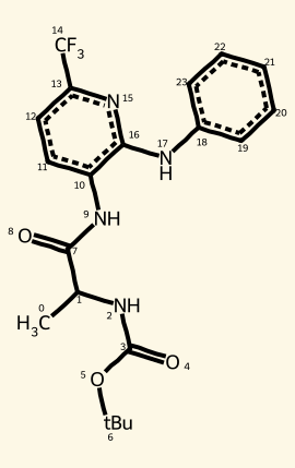 CC(NC(=O)OC(C)(C)C)C(=O)Nc1ccc(C(F)(F)F)nc1Nc1ccccc1